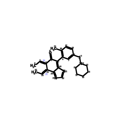 C/C=C1/C(=O)C(c2cc(SN3CCCCC3)ccc2C)=C2N=CN=C2/C1=C/C